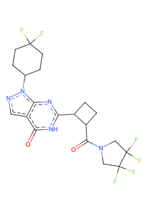 O=C(C1CCC1c1nc2c(cnn2C2CCC(F)(F)CC2)c(=O)[nH]1)N1CC(F)(F)C(F)(F)C1